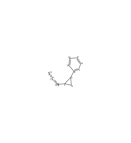 S=C=NC1CC1c1ccccc1